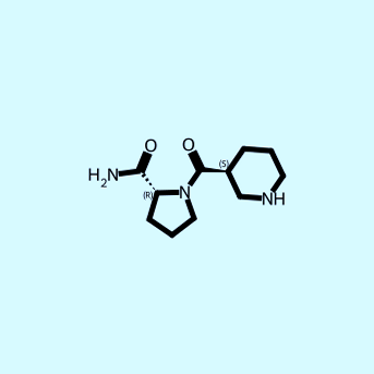 NC(=O)[C@H]1CCCN1C(=O)[C@H]1CCCNC1